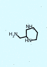 N.NCC1CCCCN1